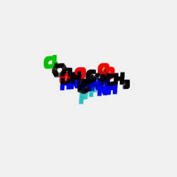 CN1C(=N)N[C@](C)(c2cc(NC(=O)c3cc4cc(Cl)ccc4o3)cc(F)c2F)CS1(=O)=O